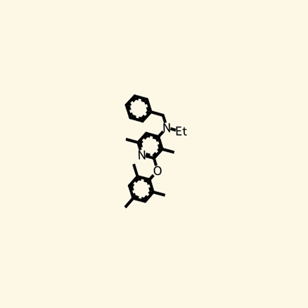 CCN(Cc1ccccc1)c1cc(C)nc(Oc2c(C)cc(C)cc2C)c1C